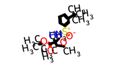 CC[C@H](C)C(C)(C(=O)N[S+]([O-])c1cccc(C(C)(C)C)c1)C(=O)OC(C)(C)C